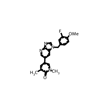 COc1ccc(Cn2cnc3ncc(-c4cc(C)c(=O)n(C)c4)cc32)cc1F